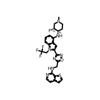 CN1CC[C@@H](Nc2cccc3c2cc(-c2noc(CNc4nccc5ccsc45)n2)n3CC(F)(F)F)[C@@H](F)C1